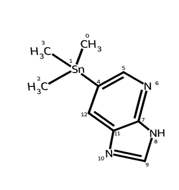 [CH3][Sn]([CH3])([CH3])[c]1cnc2[nH]cnc2c1